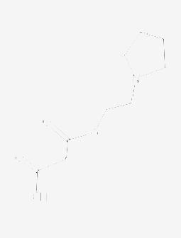 CC(=O)CC(=O)OCCN1CCCC1